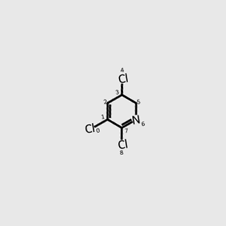 ClC1=CC(Cl)CN=C1Cl